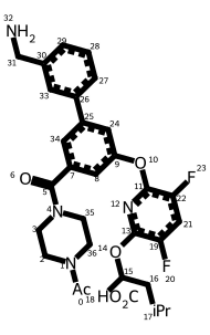 CC(=O)N1CCN(C(=O)c2cc(Oc3nc(OC(CC(C)C)C(=O)O)c(F)cc3F)cc(-c3cccc(CN)c3)c2)CC1